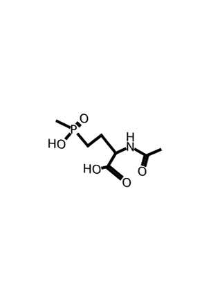 CC(=O)NC(CCP(C)(=O)O)C(=O)O